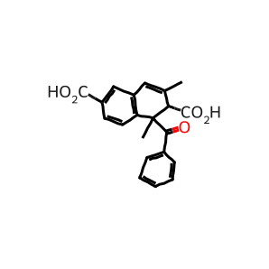 CC1=Cc2cc(C(=O)O)ccc2C(C)(C(=O)c2ccccc2)C1C(=O)O